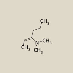 CC=C(CCC)N(C)C